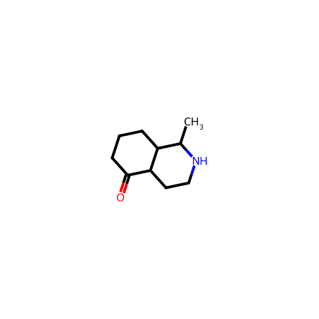 CC1NCCC2C(=O)CCCC12